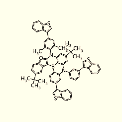 Cc1cc(-c2csc3ccccc23)cc(C)c1N1c2cc(C(C)(C)C)cc3c2B(c2ccc(-c4csc5ccccc45)cc2N3c2cccc(-c3csc4ccccc34)c2)c2c1oc1ccc(C(C)(C)C)cc21